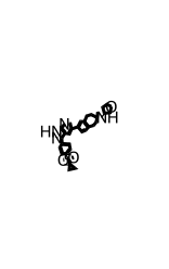 CC1(N[C@H]2CCOC2)CCc2ccc(-c3cnc4[nH]nc(-c5ccc(S(=O)(=O)C6CC6)cc5)c4c3)cc2CC1